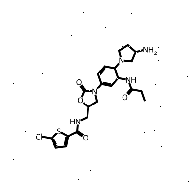 CCC(=O)NC1C=C(N2CC(CNC(=O)c3ccc(Cl)s3)OC2=O)C=CC1N1CCC(N)C1